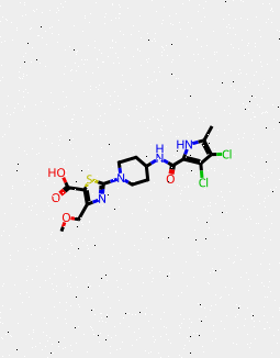 COCc1nc(N2CCC(NC(=O)c3[nH]c(C)c(Cl)c3Cl)CC2)sc1C(=O)O